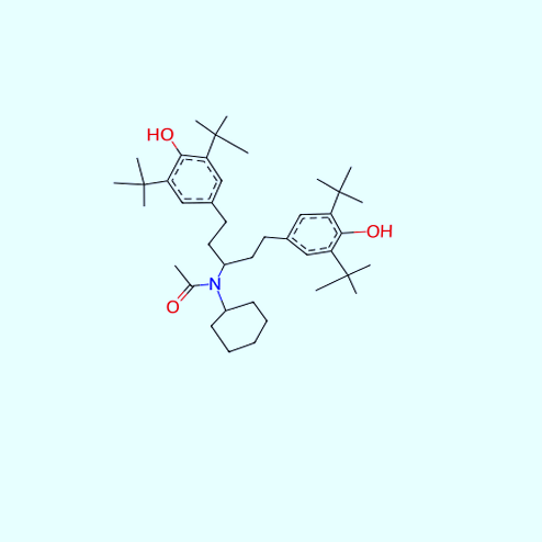 CC(=O)N(C1CCCCC1)C(CCc1cc(C(C)(C)C)c(O)c(C(C)(C)C)c1)CCc1cc(C(C)(C)C)c(O)c(C(C)(C)C)c1